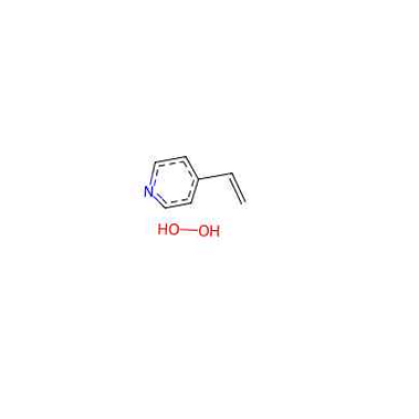 C=Cc1ccncc1.OO